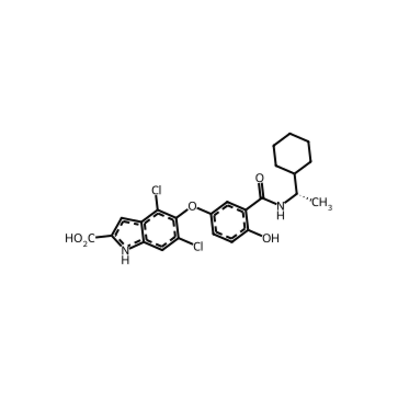 C[C@H](NC(=O)c1cc(Oc2c(Cl)cc3[nH]c(C(=O)O)cc3c2Cl)ccc1O)C1CCCCC1